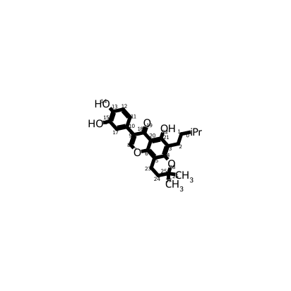 CC(C)CCc1c2c(c3occ(-c4ccc(O)c(O)c4)c(=O)c3c1O)CCC(C)(C)O2